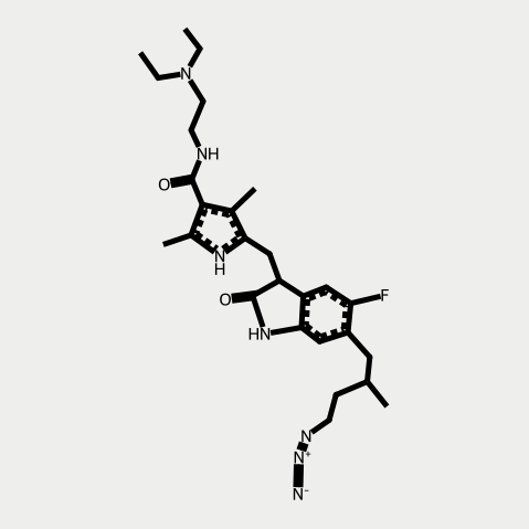 CCN(CC)CCNC(=O)c1c(C)[nH]c(CC2C(=O)Nc3cc(CC(C)CCN=[N+]=[N-])c(F)cc32)c1C